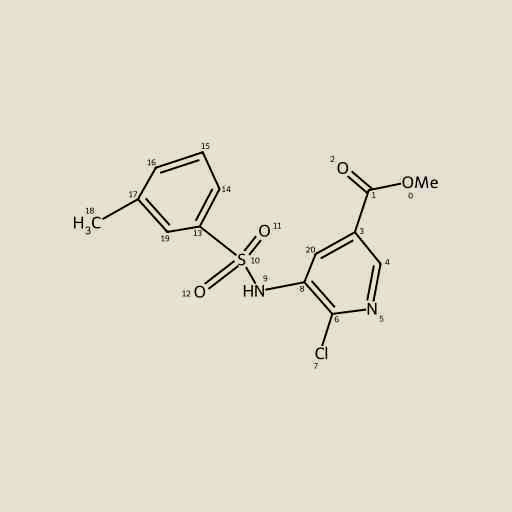 COC(=O)c1cnc(Cl)c(NS(=O)(=O)c2cccc(C)c2)c1